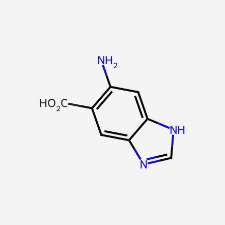 Nc1cc2[nH]cnc2cc1C(=O)O